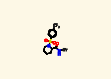 CC(C)NC(=O)C1CCCCN1S(=O)(=O)c1ccc(C(F)(F)F)cc1